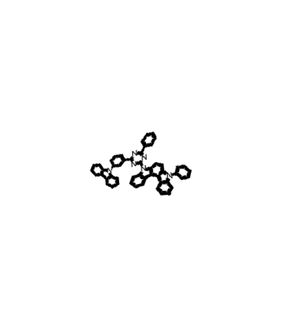 c1ccc(-c2nc(-c3cccc(-n4c5ccccc5c5ccccc54)c3)nc(-n3c4ccccc4c4c5c6ccccc6n(-c6ccccc6)c5ccc43)n2)cc1